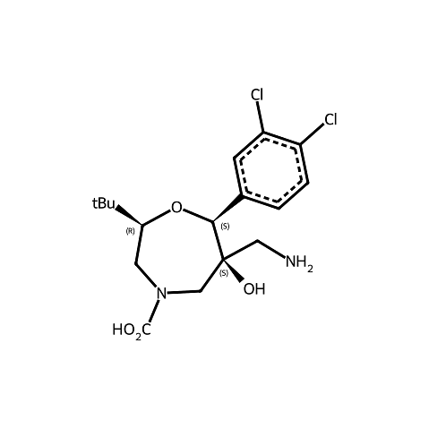 CC(C)(C)[C@@H]1CN(C(=O)O)C[C@@](O)(CN)[C@H](c2ccc(Cl)c(Cl)c2)O1